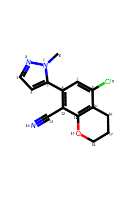 Cn1nccc1-c1cc(Cl)c2c(c1C#N)OCCC2